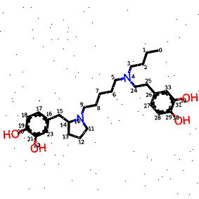 CCCCN(CCCCCN1CCCC1Cc1ccc(O)c(O)c1)CCc1ccc(O)c(O)c1